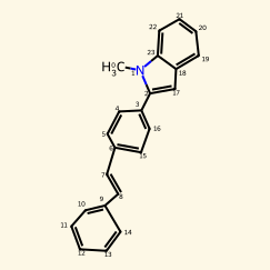 Cn1c(-c2ccc(/C=C/c3ccccc3)cc2)cc2ccccc21